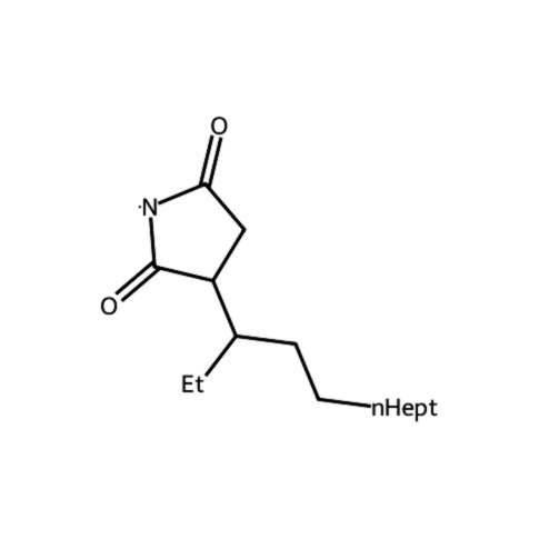 CCCCCCCCCC(CC)C1CC(=O)[N]C1=O